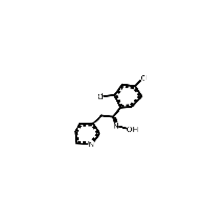 ON=C(Cc1cccnc1)c1ccc(Cl)cc1Cl